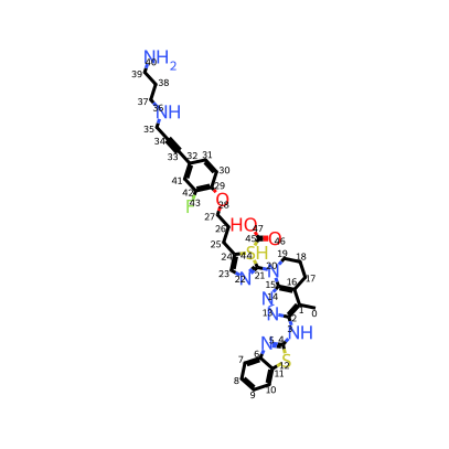 Cc1c(Nc2nc3ccccc3s2)nnc2c1CCCN2C1=NC=C(CCCOc2ccc(C#CCNCCCN)cc2F)[SH]1C(=O)O